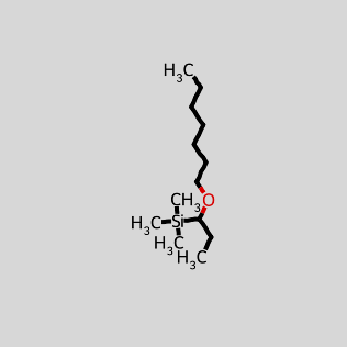 CCCCCCCOC(CC)[Si](C)(C)C